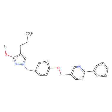 CCOc1nn(Cc2ccc(OCc3ccc(-c4ccccc4)nc3)cc2)cc1CCC(=O)O